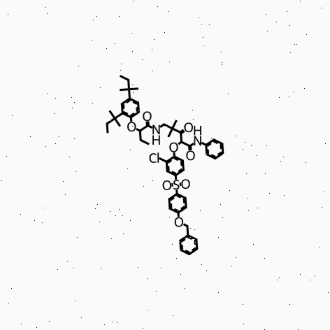 CCC(Oc1ccc(C(C)(C)CC)cc1C(C)(C)CC)C(=O)NCC(C)(C)C(=O)C(Oc1ccc(S(=O)(=O)c2ccc(OCc3ccccc3)cc2)cc1Cl)C(=O)Nc1ccccc1